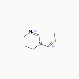 C/C=C\N(/C=N\C)CC